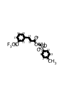 Cc1ccc(S(=O)(=O)NOC(=O)C=Cc2cccc(OC(F)(F)F)c2)cc1